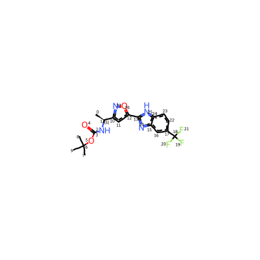 C[C@H](NC(=O)OC(C)(C)C)c1cc(-c2nc3cc(C(F)(F)F)ccc3[nH]2)on1